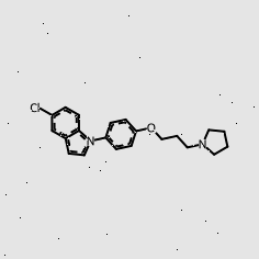 Clc1ccc2c(ccn2-c2ccc(OCCCN3CCCC3)cc2)c1